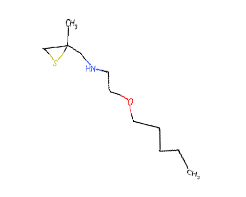 CCCCCOCCNCC1(C)CS1